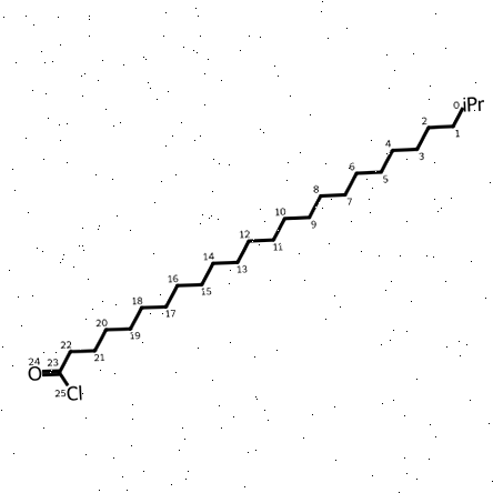 CC(C)CCCCCCCCCCCCCCCCCCCCCCC(=O)Cl